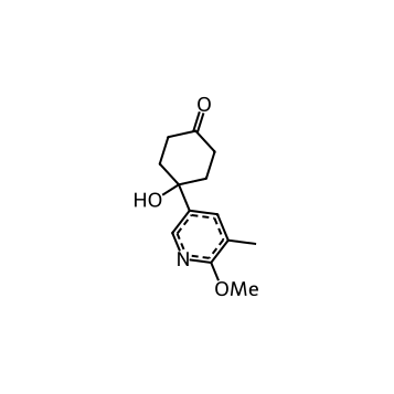 COc1ncc(C2(O)CCC(=O)CC2)cc1C